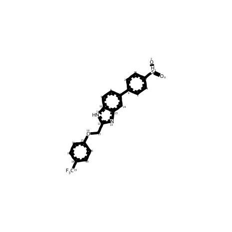 O=[SH](=O)c1ccc(-c2ccc3[nH]c(COc4ccc(C(F)(F)F)cc4)nc3c2)cc1